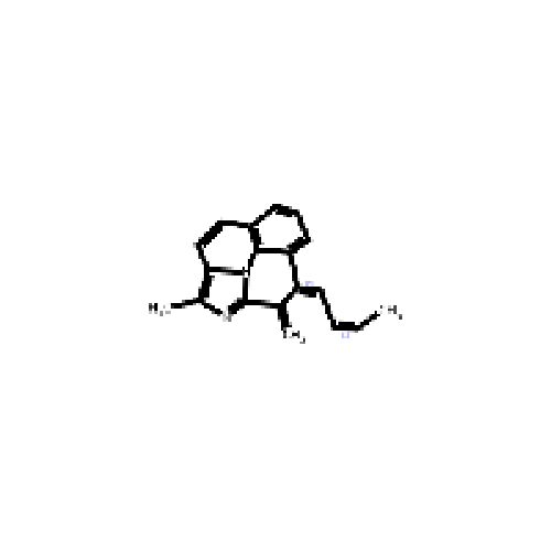 C=c1/c(=C\C=C/C)c2cccc3ccc4c(C)nc1n4c32